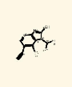 C#Cc1cnc2nc(O)n(C(CC)CC)c2c1C#N